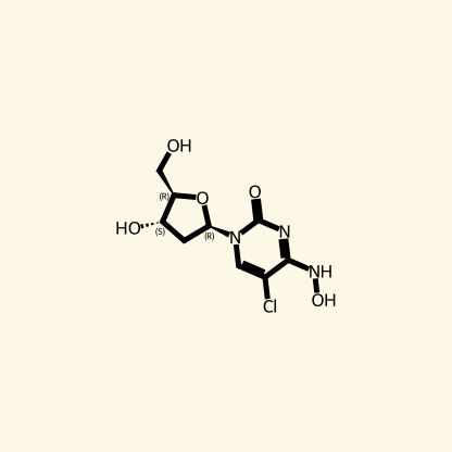 O=c1nc(NO)c(Cl)cn1[C@H]1C[C@H](O)[C@@H](CO)O1